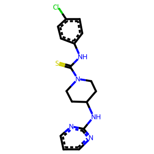 S=C(Nc1ccc(Cl)cc1)N1CCC(Nc2ncccn2)CC1